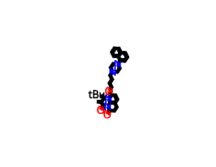 CC(CC(C)(C)C)C(=O)N1C(=O)CCc2ccc(OCCCCN3CCN(c4cccc5ccccc45)CC3)nc21